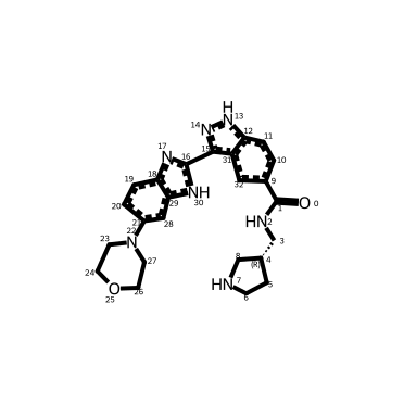 O=C(NC[C@@H]1CCNC1)c1ccc2[nH]nc(-c3nc4ccc(N5CCOCC5)cc4[nH]3)c2c1